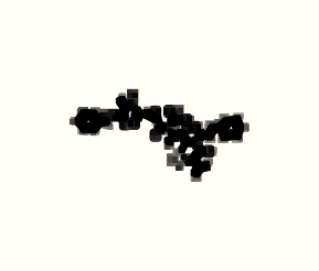 CC(NC(=O)[C@@H]1O[C@H]1C(=O)N(C(=O)O)N(C)C(=O)[C@H](C)N(C(=O)CCc1ccccc1)C(=O)[C@@H](N)C(C)C)C(=O)NCc1ccccc1